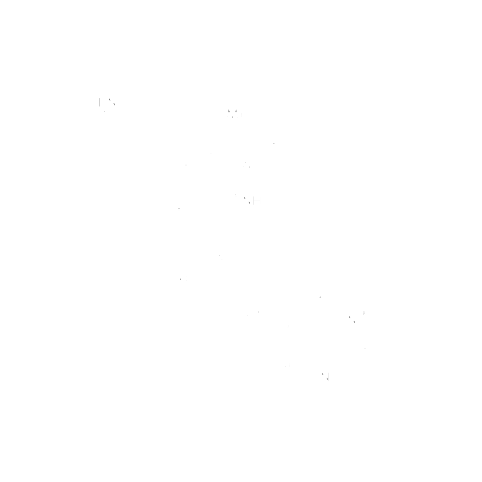 COC(C)(C)C(=O)NC(CCCCN)C(=O)CSc1cnc(C)nc1